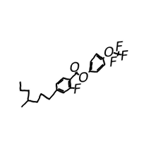 CCCC(C)CCCc1ccc(C(=O)Oc2ccc(OC(F)(F)F)cc2)c(F)c1